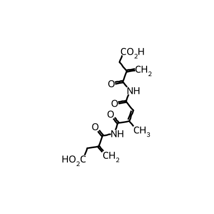 C=C(CC(=O)O)C(=O)NC(=O)/C=C(/C)C(=O)NC(=O)C(=C)CC(=O)O